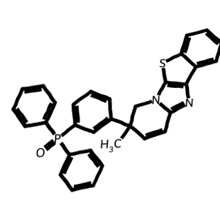 CC1(c2cccc(P(=O)(c3ccccc3)c3ccccc3)c2)C=Cc2nc3c4ccccc4sc3n2C1